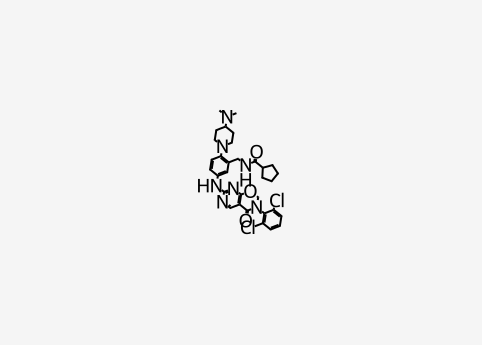 CN(C)C1CCN(c2ccc(Nc3ncc4c(n3)OCN(c3c(Cl)cccc3Cl)C4=O)cc2CNC(=O)C2CCCC2)CC1